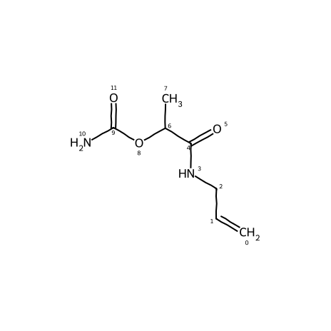 C=CCNC(=O)C(C)OC(N)=O